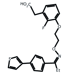 CCC(=NOCCOc1cccc(CC(=O)O)c1F)c1ccc(-c2ccsc2)cc1